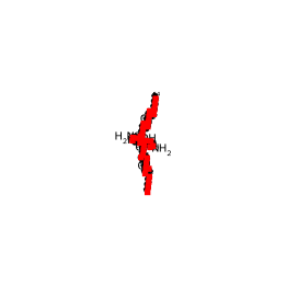 CCCCCCCC1CCC(C(=O)Oc2ccc(C=CC(=O)CC(Cc3ccc(N)cc3)(Cc3ccc(N)cc3)C(O)(O)C(=O)C=Cc3ccc(OC(=O)C4CCC(CCCCCCC)CC4)cc3)cc2)CC1